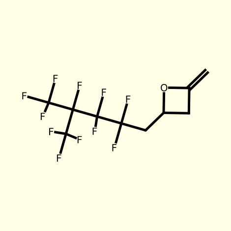 C=C1CC(CC(F)(F)C(F)(F)C(F)(C(F)(F)F)C(F)(F)F)O1